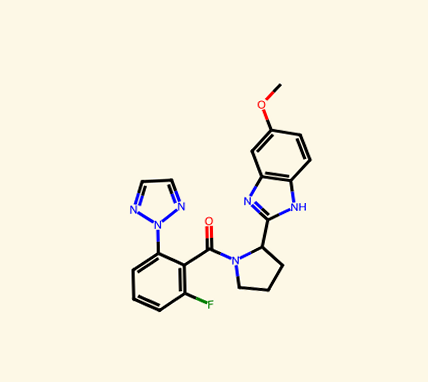 COc1ccc2[nH]c(C3CCCN3C(=O)c3c(F)cccc3-n3nccn3)nc2c1